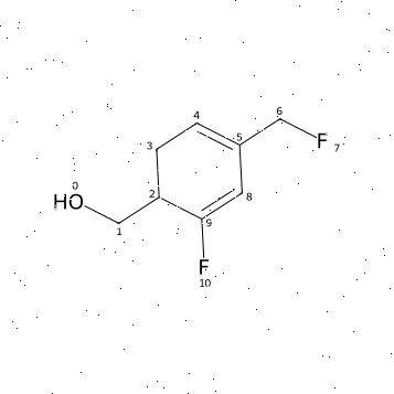 OCC1CC=C(CF)C=C1F